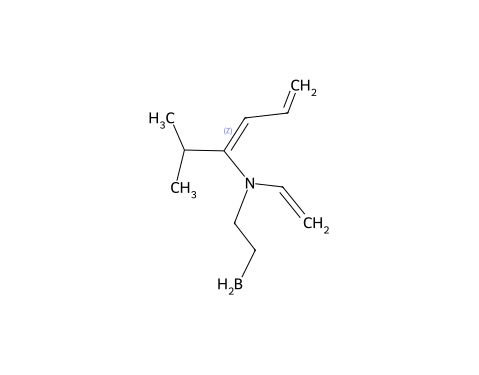 BCCN(C=C)/C(=C\C=C)C(C)C